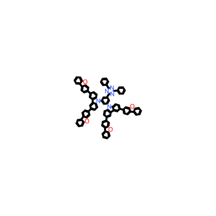 c1ccc(-c2nc(-c3ccccc3)nc(-c3cc(-n4c5ccc(-c6ccc7c(c6)oc6ccccc67)cc5c5cc(-c6ccc7c(c6)oc6ccccc67)ccc54)cc(-n4c5ccc(-c6ccc7c(c6)oc6ccccc67)cc5c5cc(-c6ccc7c(c6)oc6ccccc67)ccc54)c3)n2)cc1